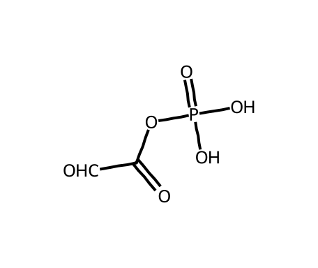 O=CC(=O)OP(=O)(O)O